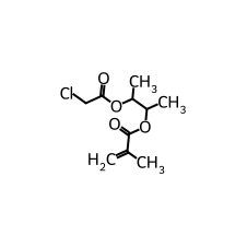 C=C(C)C(=O)OC(C)C(C)OC(=O)CCl